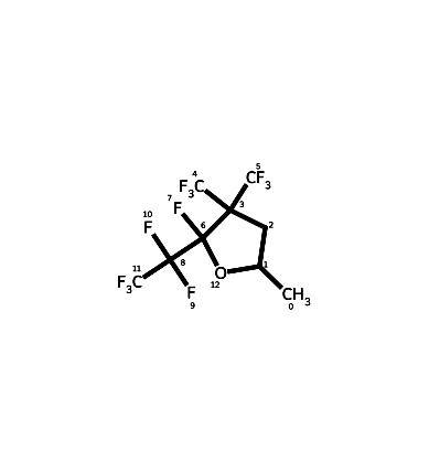 CC1CC(C(F)(F)F)(C(F)(F)F)C(F)(C(F)(F)C(F)(F)F)O1